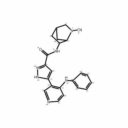 N#CN1CC2CC(NC(=O)c3cc(-c4cnccc4Nc4ccccc4)[nH]n3)C1C2